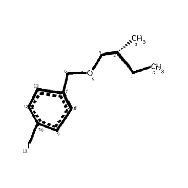 CC[C@@H](C)COCc1ccc(I)cc1